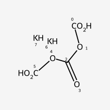 O=C(O)OC(=O)OC(=O)O.[KH].[KH]